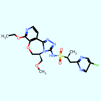 CCOc1nccc2c1OC[C@H](COC)n1c(NS(=O)(=O)[C@@H](C)Cc3ncc(F)cn3)nnc1-2